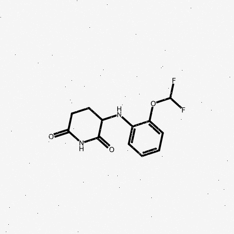 O=C1CCC(Nc2ccccc2OC(F)F)C(=O)N1